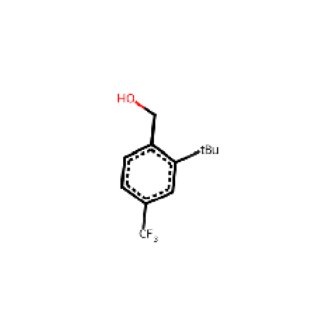 CC(C)(C)c1cc(C(F)(F)F)ccc1CO